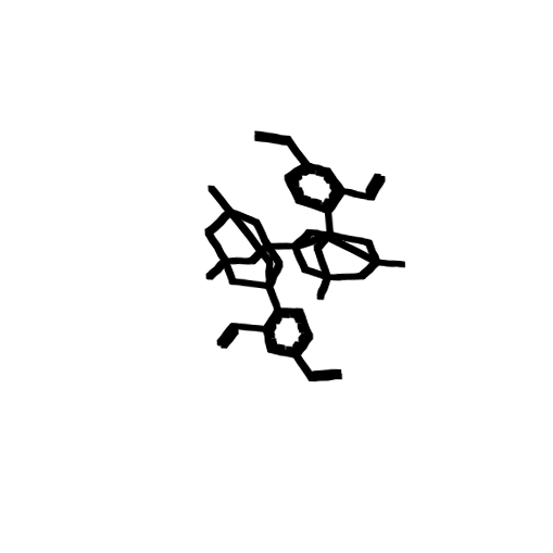 C=Cc1ccc(C23CC4(C)CC(C)(C2)CC(C25CC6(C)CC(C)(CC(c7ccc(C=C)cc7C=C)(C6)C2)C5)(C4)C3)c(C=C)c1